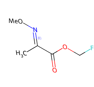 CO/N=C(\C)C(=O)OCF